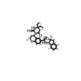 CCC1(CC)CC(=O)N([C@@H]2C[C@@H](C)Oc3ccc(C(=O)N[C@@H]4c5ccccc5C[C@@]4(C)O)cc32)C(=N)N1